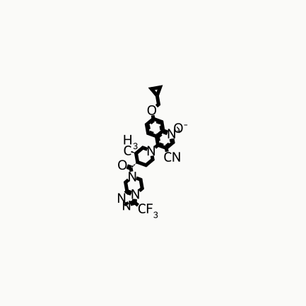 C[C@@H]1CN(c2c(C#N)c[n+]([O-])c3cc(OCC4CC4)ccc23)CC[C@@H]1C(=O)N1CCn2c(nnc2C(F)(F)F)C1